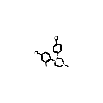 Cc1cc(Cl)ccc1N1CCN(C)C[C@H]1c1ccc(Cl)cc1